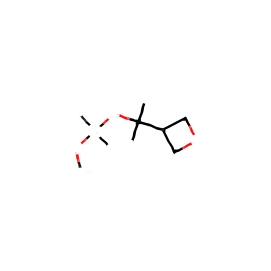 CC[Si](C)(OC(C)C)OC(C)(C)C1COC1